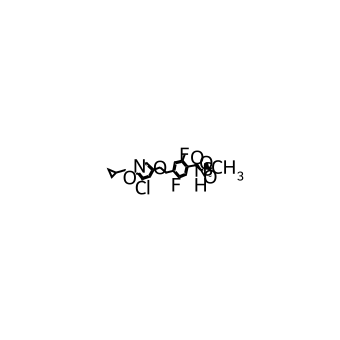 CS(=O)(=O)NC(=O)c1cc(F)c(COc2cnc(OCC3CC3)c(Cl)c2)cc1F